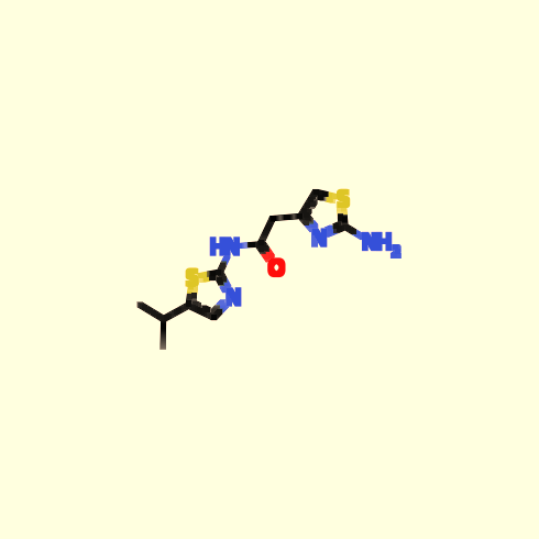 CC(C)c1cnc(NC(=O)Cc2csc(N)n2)s1